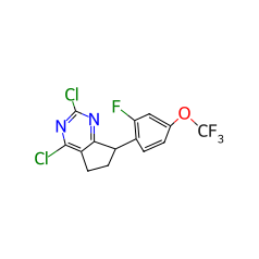 Fc1cc(OC(F)(F)F)ccc1C1CCc2c(Cl)nc(Cl)nc21